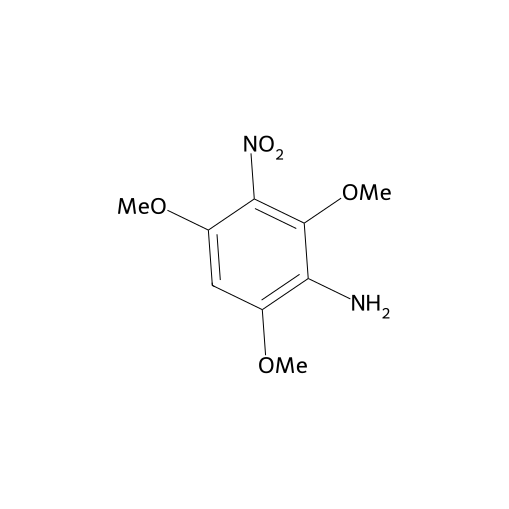 COc1cc(OC)c([N+](=O)[O-])c(OC)c1N